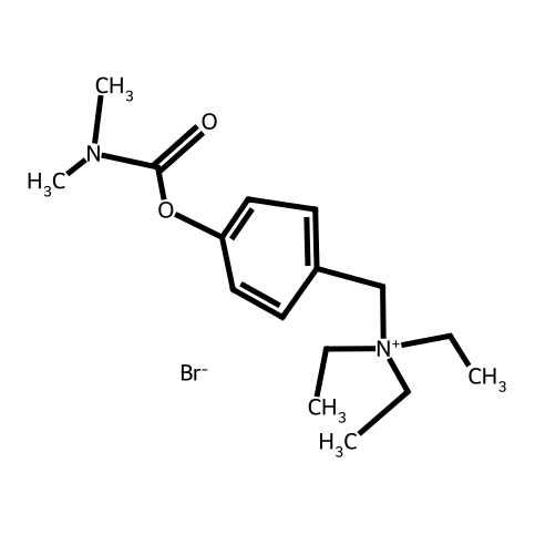 CC[N+](CC)(CC)Cc1ccc(OC(=O)N(C)C)cc1.[Br-]